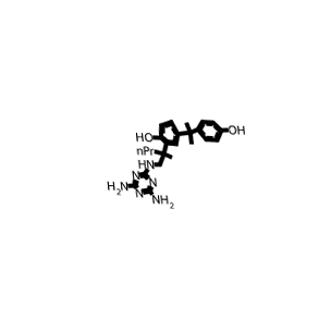 CCCC(C)(CNc1nc(N)nc(N)n1)c1cc(C(C)(C)c2ccc(O)cc2)ccc1O